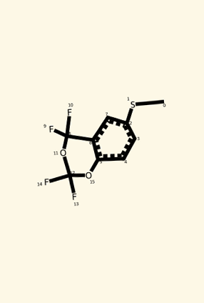 CSc1ccc2c(c1)C(F)(F)OC(F)(F)O2